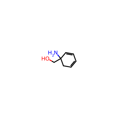 NC1(CO)C=CC=CC1